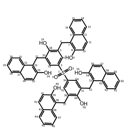 O=S(=O)(c1cc(Cc2c(O)ccc3ccccc23)c(O)c(Cc2c(O)ccc3ccccc23)c1)c1cc(Cc2c(O)ccc3ccccc23)c(O)c(Cc2c(O)ccc3ccccc23)c1